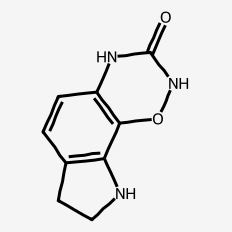 O=C1NOc2c(ccc3c2NCC3)N1